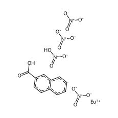 O=C(O)c1ccc2ccccc2c1.O=[N+]([O-])O.O=[N+]([O-])[O-].O=[N+]([O-])[O-].O=[N+]([O-])[O-].[Eu+3]